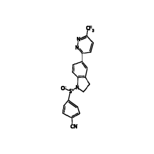 N#Cc1ccc([S+]([O-])N2CCc3cc(-c4ccc(C(F)(F)F)nn4)ccc32)cc1